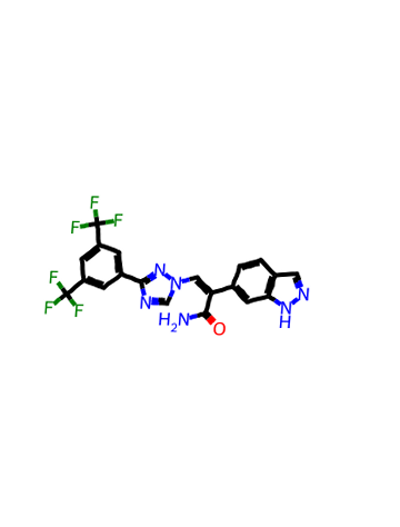 NC(=O)/C(=C\n1cnc(-c2cc(C(F)(F)F)cc(C(F)(F)F)c2)n1)c1ccc2cn[nH]c2c1